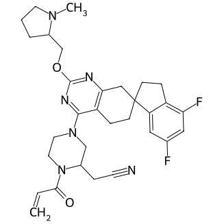 C=CC(=O)N1CCN(c2nc(OCC3CCCN3C)nc3c2CCC2(CCc4c(F)cc(F)cc42)C3)CC1CC#N